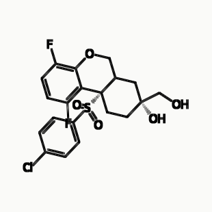 O=S(=O)(c1ccc(Cl)cc1)[C@@]12CC[C@](O)(CO)CC1COc1c(F)ccc(F)c12